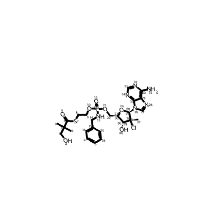 CC(C)(CO)C(=O)SCCOP(=O)(NCc1ccccc1)OC[C@H]1O[C@@H](n2cnc3c(N)ncnc32)[C@](C)(Cl)[C@@H]1O